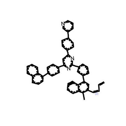 C=C/C=C\c1cc(-c2cccc(-c3nc(-c4ccc(-c5cccnc5)cc4)cc(-c4ccc(-c5cccc6ccccc56)cc4)n3)c2)c2c#cccc2c1C